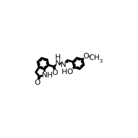 COc1ccc(O)c(C=NNC(=O)c2cccc3c2NC(=O)C3)c1